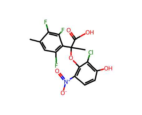 Cc1cc(F)c(C(C)(Oc2c([N+](=O)[O-])ccc(O)c2Cl)C(=O)O)c(F)c1F